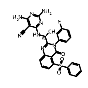 C[C@H](Nc1nc(N)nc(N)c1C#N)c1nc2cccc(S(=O)(=O)c3ccccc3)c2c(=O)n1-c1cccc(F)c1